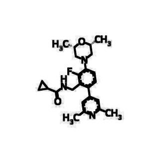 Cc1cc(-c2ccc(N3C[C@@H](C)O[C@@H](C)C3)c(F)c2CNC(=O)C2CC2)cc(C)n1